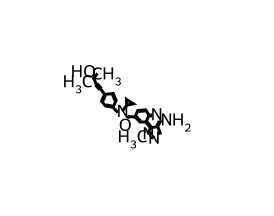 Cn1ncc2c(N)nc3ccc(C(=O)N(Cc4ccc(C#CC(C)(C)O)cc4)C4CC4)cc3c21